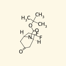 CC(C)(C)OC(=O)N1[C@H]2CC(=O)C[C@@H]1C(F)(F)C2